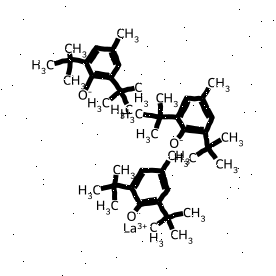 Cc1cc(C(C)(C)C)c([O-])c(C(C)(C)C)c1.Cc1cc(C(C)(C)C)c([O-])c(C(C)(C)C)c1.Cc1cc(C(C)(C)C)c([O-])c(C(C)(C)C)c1.[La+3]